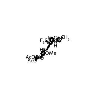 COc1cc(C(=O)NCC(COC(C)=O)OC(C)=O)ccc1NCC#Cc1cc2c(N[C@@H]3CCN(C)C[C@@H]3C)cccc2n1CC(F)(F)F